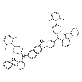 CC1=CC=CC(C)C1C1=CC=C(N(C2=CC3Oc4cc5cc(N(c6cccc7c6oc6ccccc67)C6CC=C(C7C(C)=CC=CC7C)CC6)ccc5cc4C3C=C2)C2CC=Cc3c2oc2c3C=CCC2)CC1